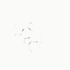 C=C(C)/C(=C\C1=C(C)CC(N)=C1C(C)(C)C)C(C)(C)C